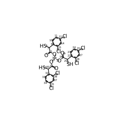 O=C(OP(OC(=O)C(S)c1ccc(Cl)cc1Cl)OC(=O)C(S)c1ccc(Cl)cc1Cl)C(S)c1ccc(Cl)cc1Cl